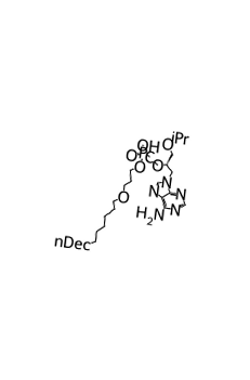 CCCCCCCCCCCCCCCCOCCCO[P@@](=O)(O)CO[C@@H](COC(C)C)Cn1cnc2c(N)ncnc21